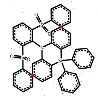 O=S(=O)(c1ccccc1)c1cccc(S(=O)(=O)c2ccccc2)c1N1c2ccccc2[Si](c2ccccc2)(c2ccccc2)c2ccccc21